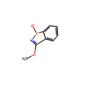 [O-][s+]1nc(O[SiH3])c2ccccc21